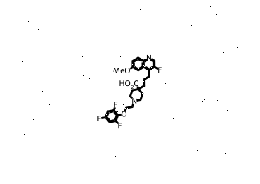 COc1ccc2ncc(F)c(CCCC3(C(=O)O)CCN(CCOc4c(F)cc(F)cc4F)CC3)c2c1